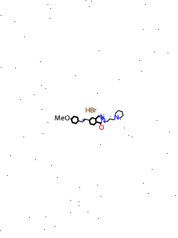 Br.COc1ccc(/C=C/c2ccc3c(=O)n(CCCN4CCCCC4)ncc3c2)cc1